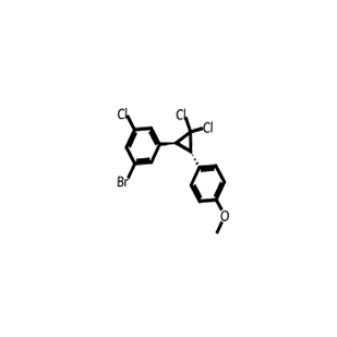 COc1ccc([C@@H]2[C@@H](c3cc(Cl)cc(Br)c3)C2(Cl)Cl)cc1